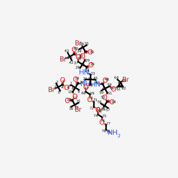 CC(C)(Br)C(=O)OCC(C)(COC(=O)C(C)(C)Br)C(=O)NCC(CNC(=O)C(C)(COC(=O)C(C)(C)Br)COC(=O)C(C)(C)Br)(CNC(=O)C(C)(COC(=O)C(C)(C)Br)COC1=CC1(C)Br)COCCOCCOCCOCCN